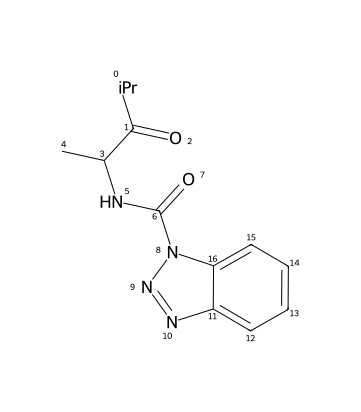 CC(C)C(=O)C(C)NC(=O)n1nnc2ccccc21